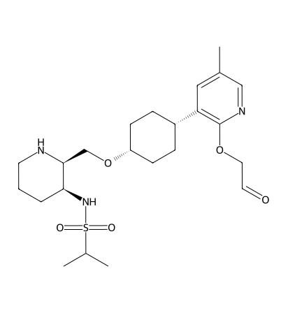 Cc1cnc(OCC=O)c([C@H]2CC[C@@H](OC[C@@H]3NCCC[C@@H]3NS(=O)(=O)C(C)C)CC2)c1